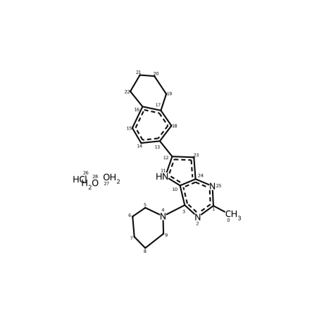 Cc1nc(N2CCCCC2)c2[nH]c(-c3ccc4c(c3)CCCC4)cc2n1.Cl.O.O